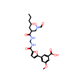 CCCCCC(CN(O)C=O)C(=O)NCNC(=O)c1ccc(-c2cc(OC)cc(C(=O)O)c2)o1